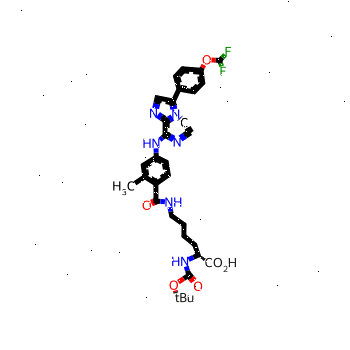 Cc1cc(Nc2nccn3c(-c4ccc(OC(F)F)cc4)cnc23)ccc1C(=O)NCCCC[C@H](NC(=O)OC(C)(C)C)C(=O)O